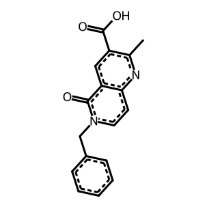 Cc1nc2ccn(Cc3ccccc3)c(=O)c2cc1C(=O)O